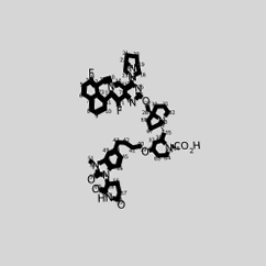 C#Cc1c(F)ccc2cccc(-c3ncc4c(N5CC6CCC(C5)N6)nc(OC[C@@]56CCCN5[C@H](CC5CC(OCCCCc7ccc8c(c7)n(C)c(=O)n8C7CCC(=O)NC7=O)CCN5C(=O)O)CC6)nc4c3F)c12